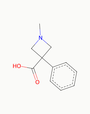 CN1CC(C(=O)O)(c2ccccc2)C1